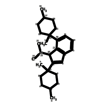 CC1CCC(C)(C2=Cc3cccc(C4(C)CCC(C)CC4)c3[CH]2[Zr]([Cl])[Cl])CC1